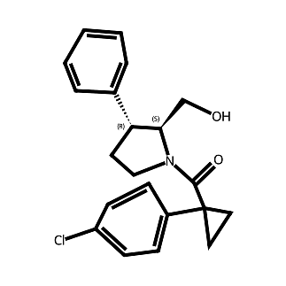 O=C(N1CC[C@H](c2ccccc2)[C@H]1CO)C1(c2ccc(Cl)cc2)CC1